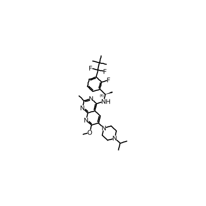 COc1nc2nc(C)nc(N[C@H](C)c3cccc(C(F)(F)C(C)(C)C)c3F)c2cc1N1CCN(C(C)C)CC1